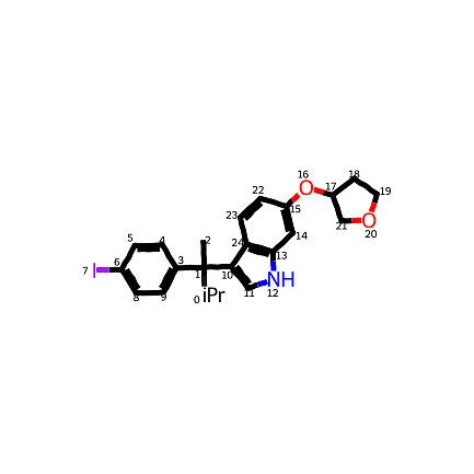 CC(C)C(C)(c1ccc(I)cc1)c1c[nH]c2cc(OC3CCOC3)ccc12